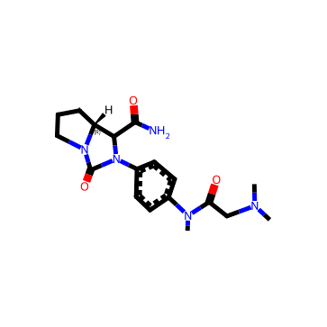 CN(C)CC(=O)N(C)c1ccc(N2C(=O)N3CC[CH][C@@H]3C2C(N)=O)cc1